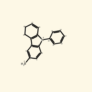 Bc1ccc2c(c1)c1c(n2-c2ccccc2)C=CCC1